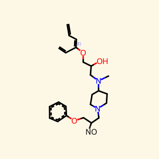 C=C/C=C(\C=C)OCC(O)CN(C)C1CCN(CC(COc2ccccc2)N=O)CC1